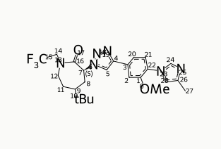 COc1cc(-c2cn([C@H]3CC(C(C)(C)C)CCN(CC(F)(F)F)C3=O)nn2)ccc1-n1cnc(C)c1